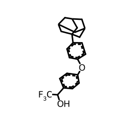 OC(c1ccc(Oc2ccc(C34CC5CC(CC(C5)C3)C4)cc2)cc1)C(F)(F)F